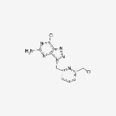 Nc1nc(Cl)c2nnn(Cc3cccc(CCl)n3)c2n1